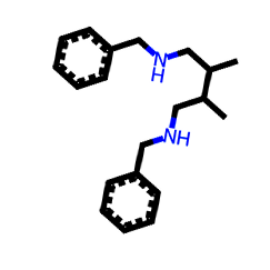 CC(CNCc1ccccc1)C(C)CNCc1ccccc1